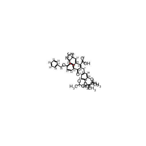 CC(C)Oc1cc(C/C(C(=O)c2ccc(OCc3ccccc3)cc2)=C(\C(=O)O)c2ccc3nsnc3c2)cc(OC(C)C)c1OC(C)C